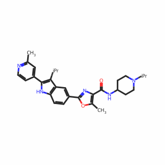 Cc1cc(-c2[nH]c3ccc(-c4nc(C(=O)NC5CCN(C(C)C)CC5)c(C)o4)cc3c2C(C)C)ccn1